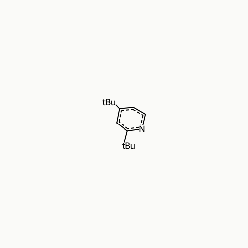 CC(C)(C)c1ccnc(C(C)(C)C)c1